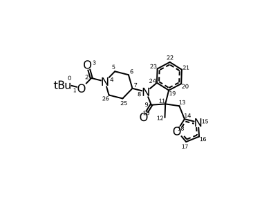 CC(C)(C)OC(=O)N1CCC(N2C(=O)C(C)(Cc3ncco3)c3ccccc32)CC1